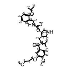 COCCCOc1cc(C(=O)N(C[C@@H]2CNC[C@H]2OC(=O)NCc2ccccc2OC(C)C)C(C)C)ccc1OC